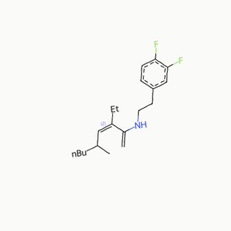 C=C(NCCc1ccc(F)c(F)c1)/C(=C\C(C)CCCC)CC